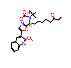 CCC(=O)CCCCC[C@@H](c1ncc(-c2cc3ccccc3nc2OC)o1)N(C(=O)O)C(C)(C)C